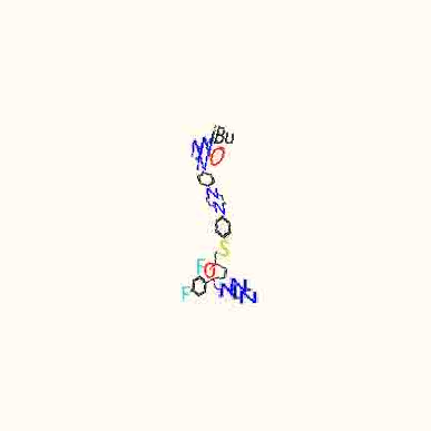 CCC(C)n1ncn(-c2ccc(N3CCN(c4ccc(SCC5CCC(Cn6cncn6)(c6ccc(F)cc6F)O5)cc4)CC3)cc2)c1=O